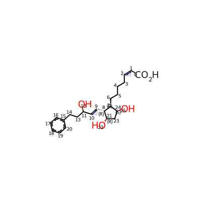 O=C(O)/C=C\CCCC[C@@H]1[C@@H](/C=C/C(O)CCc2ccccc2)[C@H](O)C[C@@H]1O